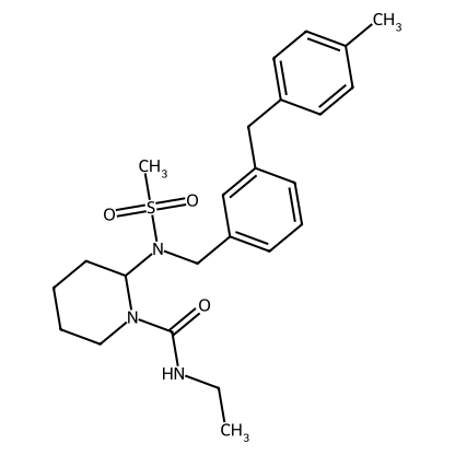 CCNC(=O)N1CCCCC1N(Cc1cccc(Cc2ccc(C)cc2)c1)S(C)(=O)=O